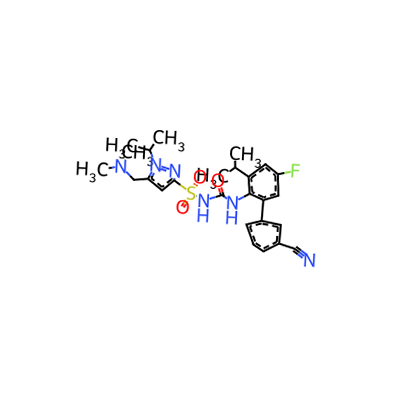 CC(C)c1cc(F)cc(-c2cccc(C#N)c2)c1NC(=O)NS(=O)(=O)c1cc(CN(C)C)n(C(C)C)n1